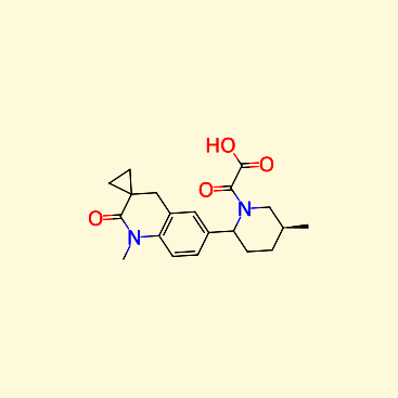 C[C@H]1CCC(c2ccc3c(c2)CC2(CC2)C(=O)N3C)N(C(=O)C(=O)O)C1